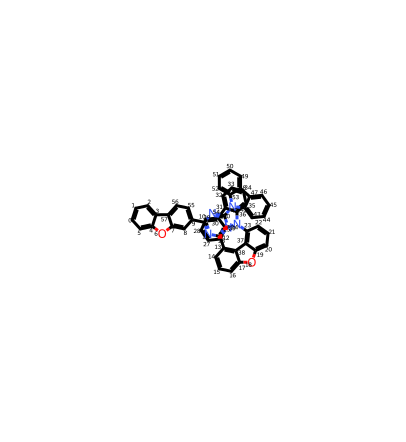 c1ccc2c(c1)oc1cc(-c3nc(-c4cccc5oc6cccc(-n7c8ccccc8c8ccccc87)c6c45)nc(-n4c5ccccc5c5ccccc54)n3)ccc12